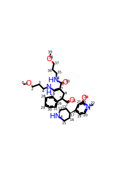 COCCCN/C=C(/CC(C(=O)[C@H]1CNCC[C@@H]1c1ccn(C)c(=O)c1)c1ccccc1)C(=O)NCCCOC